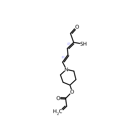 C=CC(=O)OC1CCN(/C=C/C=C(\S)C=O)CC1